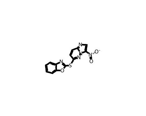 O=[N+]([O-])c1cnc2ccc(Sc3nc4ccccc4o3)nn12